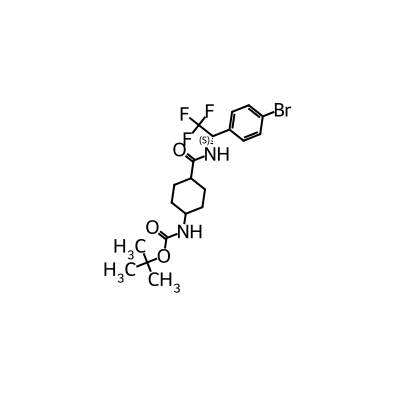 CC(C)(C)OC(=O)NC1CCC(C(=O)N[C@@H](c2ccc(Br)cc2)C(F)(F)F)CC1